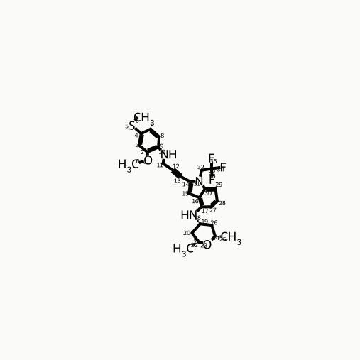 COc1cc(SC)ccc1NCC#Cc1cc2c(N[C@H]3C[C@@H](C)O[C@@H](C)C3)cccc2n1CC(F)(F)F